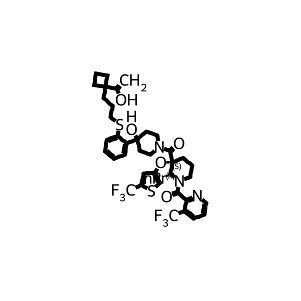 C=C(O)C1(CCCSc2ccccc2C2(O)CCN(C(=O)[C@]3(Oc4csc(C(F)(F)F)c4)CCCN(C(=O)c4ncccc4C(F)(F)F)[C@@H]3CCC)CC2)CCC1